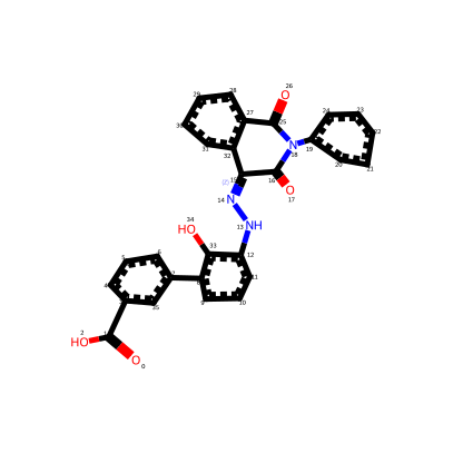 O=C(O)c1cccc(-c2cccc(N/N=C3\C(=O)N(c4ccccc4)C(=O)c4ccccc43)c2O)c1